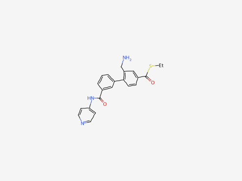 CCSC(=O)c1ccc(-c2cccc(C(=O)Nc3ccncc3)c2)c(CN)c1